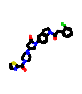 O=C(c1nccs1)N1CCN(C2CC(=O)N(c3ccc4c(c3)CCN4C(=O)Cc3ccccc3Cl)C2)CC1